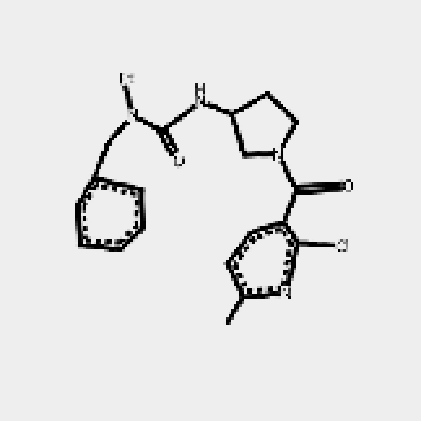 CCN(Cc1ccccc1)C(=O)NC1CCN(C(=O)c2ccc(C)nc2Cl)C1